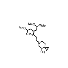 COC(CN(CCCN1CCC2(CC2)C(O)C1)CC(OC)OC)OC